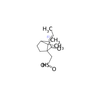 C/C=C1/C(=O)C2(C[SH](=O)=O)CCC1C2(C)C